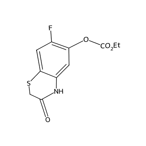 CCOC(=O)Oc1cc2c(cc1F)SCC(=O)N2